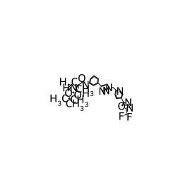 CC(C)(C)OC(=O)NC(C)(C)C(=O)Nc1cccc(-c2cn(Cc3ccc(-c4nnc(C(F)F)o4)cn3)nn2)c1